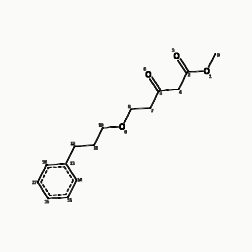 COC(=O)CC(=O)CCOCCCc1ccccc1